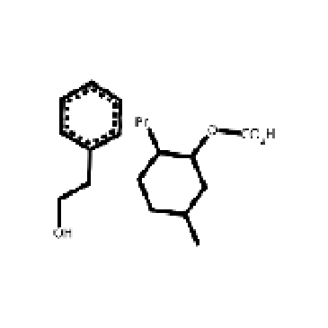 CC1CCC(C(C)C)C(OC(=O)O)C1.OCCc1ccccc1